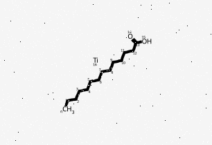 CCCCCCCCCCCCCC(=O)O.[Ti]